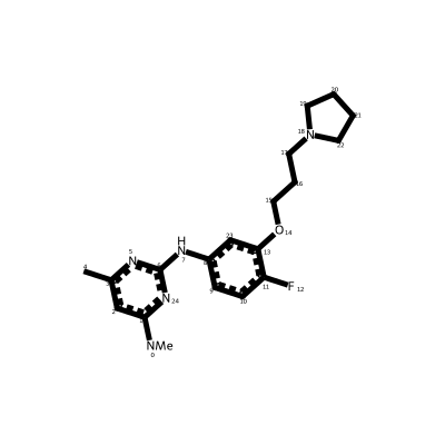 CNc1cc(C)nc(Nc2ccc(F)c(OCCCN3CCCC3)c2)n1